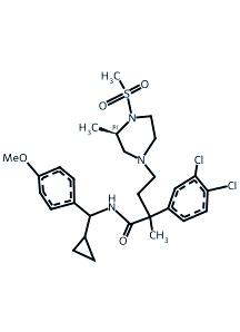 COc1ccc(C(NC(=O)C(C)(CCN2CCN(S(C)(=O)=O)[C@H](C)C2)c2ccc(Cl)c(Cl)c2)C2CC2)cc1